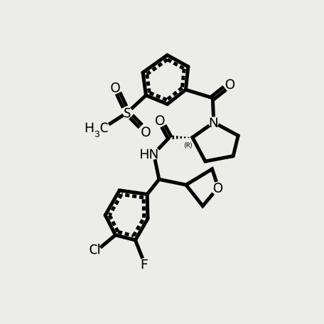 CS(=O)(=O)c1cccc(C(=O)N2CCC[C@@H]2C(=O)NC(c2ccc(Cl)c(F)c2)C2COC2)c1